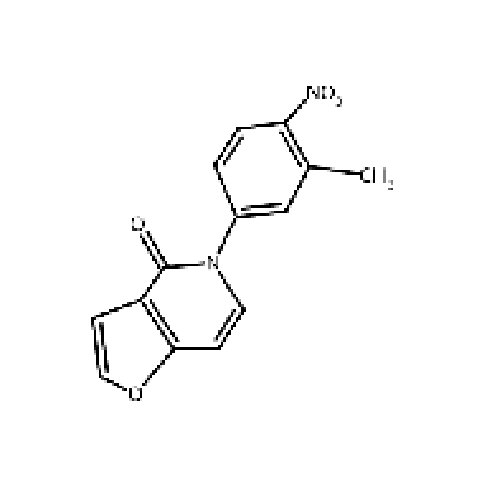 Cc1cc(-n2ccc3occc3c2=O)ccc1[N+](=O)[O-]